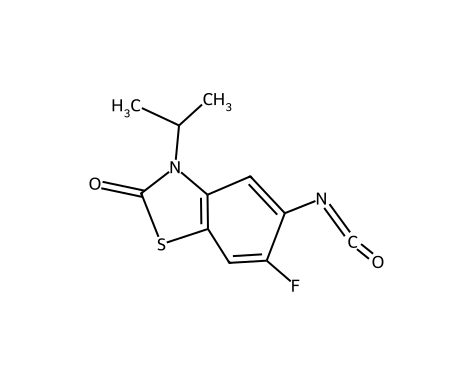 CC(C)n1c(=O)sc2cc(F)c(N=C=O)cc21